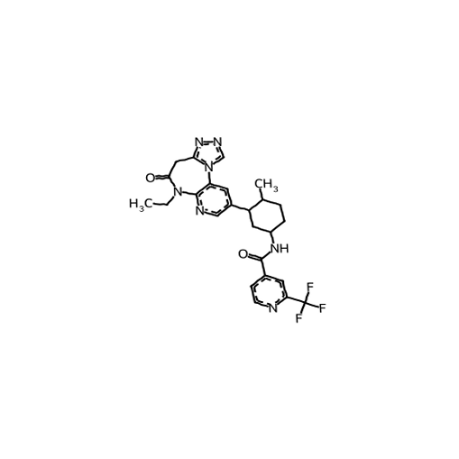 CCN1C(=O)Cc2nncn2-c2cc(C3CC(NC(=O)c4ccnc(C(F)(F)F)c4)CCC3C)cnc21